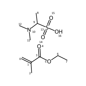 C=C(C)C(=O)OCC.CC(N(C)C)S(=O)(=O)O